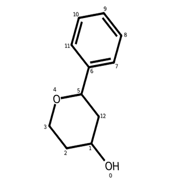 OC1CCOC(c2ccccc2)C1